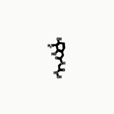 Nc1c(O)ccc(CC(=O)NCC(=O)NO)c1O